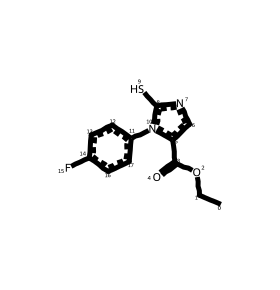 CCOC(=O)c1cnc(S)n1-c1ccc(F)cc1